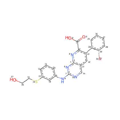 O=C(O)c1nc2nc(Nc3cccc(SCCO)c3)ncc2cc1-c1ccccc1Br